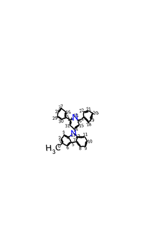 Cc1ccc2c(c1)c1ccccc1n2-c1cc(-c2ccccc2)nc(-c2ccccc2)c1